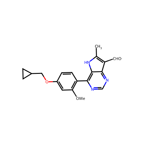 COc1cc(OCC2CC2)ccc1-c1ncnc2c([C]=O)c(C)[nH]c12